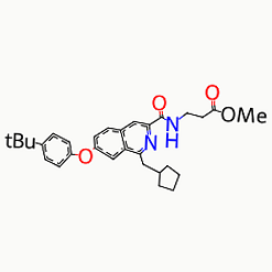 COC(=O)CCNC(=O)c1cc2ccc(Oc3ccc(C(C)(C)C)cc3)cc2c(CC2CCCC2)n1